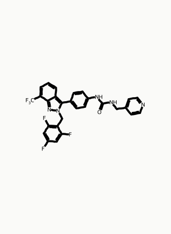 O=C(NCc1ccncc1)Nc1ccc(-c2c3cccc(C(F)(F)F)c3nn2Cc2c(F)cc(F)cc2F)cc1